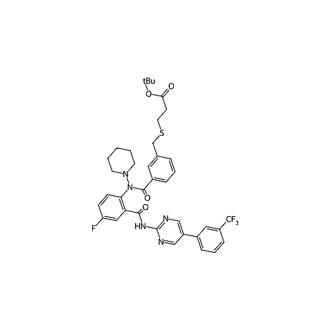 CC(C)(C)OC(=O)CCSCc1cccc(C(=O)N(c2ccc(F)cc2C(=O)Nc2ncc(-c3cccc(C(F)(F)F)c3)cn2)N2CCCCC2)c1